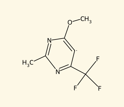 COc1[c]c(C(F)(F)F)nc(C)n1